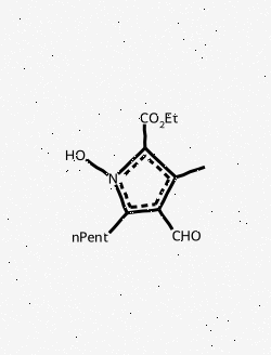 CCCCCc1c(C=O)c(C)c(C(=O)OCC)n1O